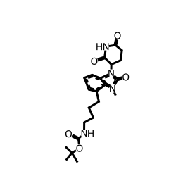 Cn1c(=O)n(C2CCC(=O)NC2=O)c2cccc(CCCCNC(=O)OC(C)(C)C)c21